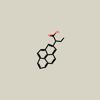 CCC(C(=O)O)c1cc2ccc3cccc4ccc(c1)c2c34